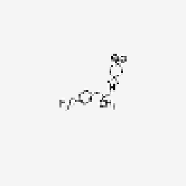 CC(Cc1ccc(C(F)(F)F)cc1)CN1CC2(CCS(=O)(=O)CC2)C1